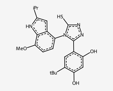 COc1ccc(-n2c(S)nnc2-c2cc(C(C)(C)C)c(O)cc2O)c2cc(C(C)C)[nH]c12